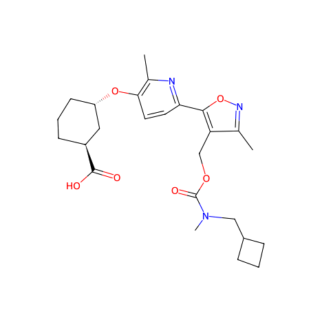 Cc1nc(-c2onc(C)c2COC(=O)N(C)CC2CCC2)ccc1O[C@H]1CCC[C@H](C(=O)O)C1